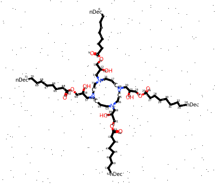 CCCCCCCCCCCCCCCCCC(=O)OCC(O)CN1CCCN(CC(O)COC(=O)CCCCCCCCCCCCCCCCC)CCN(CC(O)COC(=O)CCCCCCCCCCCCCCCCC)CCCN(CC(O)COC(=O)CCCCCCCCCCCCCCCCC)CC1